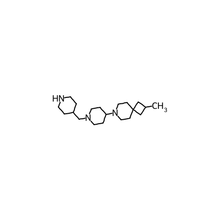 CC1CC2(CCN(C3CCN(CC4CCNCC4)CC3)CC2)C1